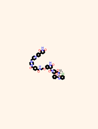 CNC(=O)C1(Oc2ccccc2-c2nc3cccc(Cl)c3s2)CCN(C(=O)[C@H]2CC(=O)Nc3ccc(OCCNC(=O)C4CCC(C(=O)N5CCN(CC6CCN(c7ccc(C8CCC(=O)NC8=O)cc7)CC6)CC5)CC4)cc32)CC1